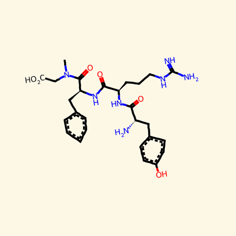 CN(CC(=O)O)C(=O)[C@H](Cc1ccccc1)NC(=O)[C@@H](CCCNC(=N)N)NC(=O)[C@@H](N)Cc1ccc(O)cc1